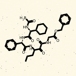 BC(=O)N[C@H](C(=O)N[C@H](C(=O)NC(CCC)C(=O)C(=O)NCC(=O)OCc1ccccc1)c1ccccc1)C1CCCCC1